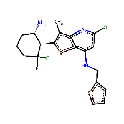 Cc1c([C@@H]2[C@@H](N)CCCC2(F)F)sc2c(NCc3cccs3)cc(Cl)nc12